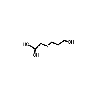 OCCCNCC(O)O